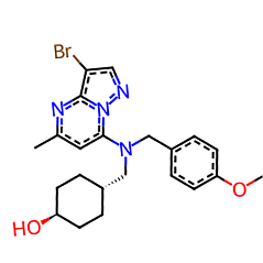 COc1ccc(CN(C[C@H]2CC[C@H](O)CC2)c2cc(C)nc3c(Br)cnn23)cc1